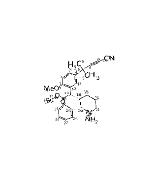 COc1ccc(C(C)(C)C#CC#N)cc1C(C(=O)OC(C)(C)C)[C@@H]1CCCN(N)[C@@H]1c1ccccc1